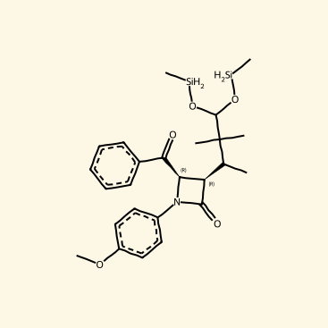 COc1ccc(N2C(=O)[C@H](C(C)C(C)(C)C(O[SiH2]C)O[SiH2]C)[C@@H]2C(=O)c2ccccc2)cc1